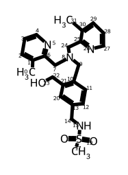 Cc1cccnc1CN(Cc1ccc(CNS(C)(=O)=O)cc1CO)Cc1ncccc1C